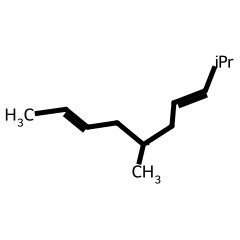 CC=CC[C](C)CC=CC(C)C